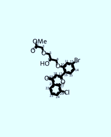 COC(=O)COCC(O)COc1cc(Br)ccc1-c1cc(=O)c2cccc(Cl)c2o1